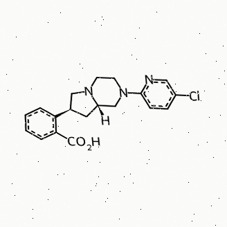 O=C(O)c1ccccc1[C@@H]1C[C@H]2CN(c3ccc(Cl)cn3)CCN2C1